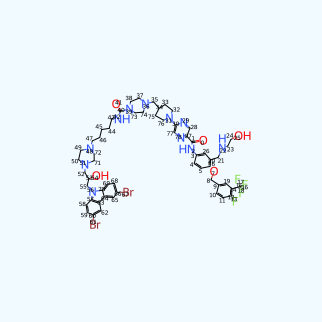 O=C(Nc1ccc(OCc2ccc(F)c(C(F)(F)F)c2)c(CNCCO)c1)c1cnc(N2CCC(CN3CCN(C(=O)NCCCCCN4CCN(CC(O)Cn5c6ccc(Br)cc6c6cc(Br)ccc65)CC4)CC3)CC2)cn1